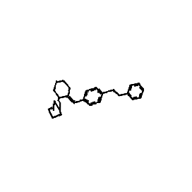 C(=C1/CCCCC1N1CCC1)/c1ccc(CCc2ccccc2)cc1